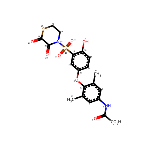 Cc1cc(NC(=O)C(=O)O)cc(C)c1Oc1ccc(O)c(S(=O)(=O)N2CCSC(=O)C2=O)c1